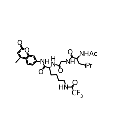 CC(=O)NC(CC(C)C)C(=O)NCC(=O)NC(CCCCNC(=O)C(F)(F)F)C(=O)Nc1ccc2c(C)cc(=O)oc2c1